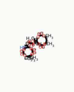 C=CC(CC)(OC(=O)C(=O)OC(C)(C=N)C1COC(=O)C(=O)O/C(C)=C(/C)C(C)OC(=O)C(=O)OC1)C1COC(=O)C(=O)OC(C)CCC(C)OC(=O)C(=O)OC1